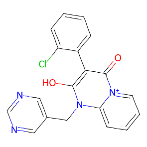 O=c1c(-c2ccccc2Cl)c(O)n(Cc2cncnc2)c2cccc[n+]12